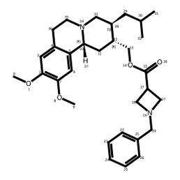 COc1cc2c(cc1OC)[C@H]1C[C@@H](COC(=O)C3CN(Cc4ccccc4)C3)[C@H](CC(C)C)CN1CC2